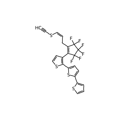 C#CS/C=C\CC1=C(c2ccsc2-c2ccc(-c3cccs3)s2)C(F)(F)C(F)(F)C1(F)F